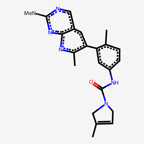 CNc1ncc2cc(-c3cc(NC(=O)N4CC=C(C)C4)ccc3C)c(C)nc2n1